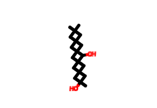 CC1(C)CC2(C1)CC1(C2)CC2(CC3(CC(C)(O)C3)C2)C1O